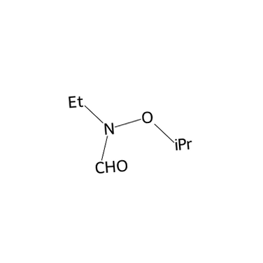 [CH2]CN(C=O)OC(C)C